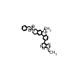 CCn1cnc2c(-c3ccc(F)c(-c4cc5c(cc4OC)CN(S(=O)(=O)Cc4ccccc4)CC5)c3)cnnc21